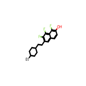 CCC1CCC(CCc2cc3ccc(O)c(F)c3c(F)c2F)CC1